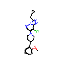 COc1ccccc1C1CCN(c2cnn3c(CC4CC4)nnc3c2Cl)CC1